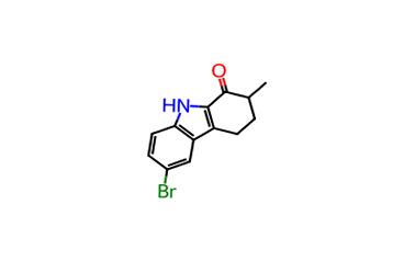 CC1CCc2c([nH]c3ccc(Br)cc23)C1=O